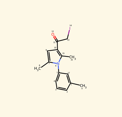 Cc1cccc(-n2c(C)cc(C(=O)CI)c2C)c1